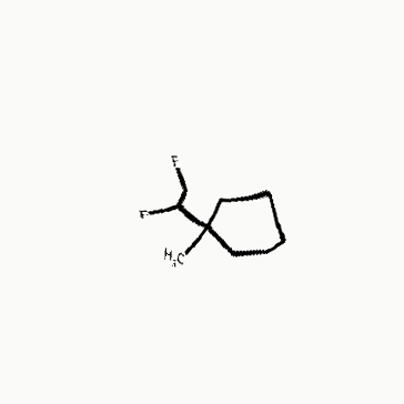 CC1(C(F)F)CCCC1